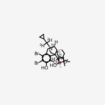 [2H]C([2H])(C1CC1)N1CC[C@]23c4c5c(Br)c(Br)c(O)c4O[C@H]2[C@@]2(OC)CC[C@@]3(C[C@@H]2[C@](C)(O)C(C)(C)C)[C@H]1C5